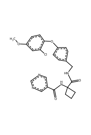 COc1ccc(Oc2ccc(CNC(=O)C3(NC(=O)c4cncnc4)CCC3)cc2)c(Cl)c1